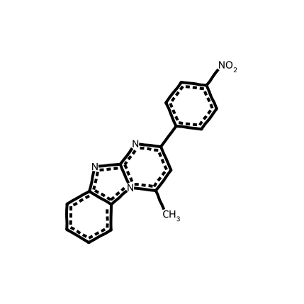 Cc1cc(-c2ccc([N+](=O)[O-])cc2)nc2nc3ccccc3n12